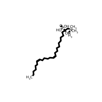 CCCCCC/C=C\CCCC/C=C\CCCCCCCCCC(O)(C[N+](C)(C)C)P(=O)(O)O